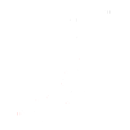 CCCCC(CC)COC(=O)/C=C\C(=O)OC(=O)/C=C\C(=O)O